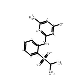 Cc1nc(Cl)nc(Nc2ccccc2S(=O)(=O)C(C)C)n1